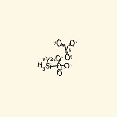 O=P([O-])([O-])[SiH3].[O]=[V](=[O])[O-].[Y+3]